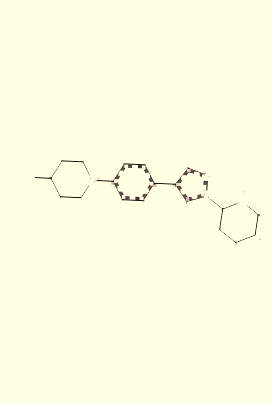 O=C(O)C1CCN(c2ccc(-c3cnn(C4CCCCO4)c3)cc2)CC1